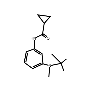 CN(c1cccc(NC(=O)C2CC2)c1)C(C)(C)C